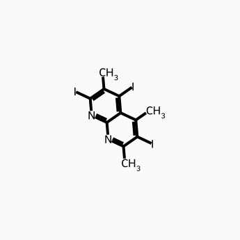 Cc1nc2nc(I)c(C)c(I)c2c(C)c1I